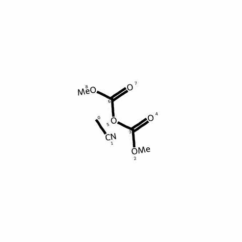 CC#N.COC(=O)OC(=O)OC